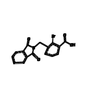 O=C(O)c1cccc(CN2C(=O)c3ccccc3C2=O)c1Br